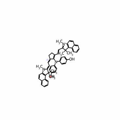 CN1C(=C/C=C2/CCC(C=CC3=[N+](C)c4ccc5ccccc5c4C3(C)C)=C2N(c2ccc(O)cc2)c2ccc(O)cc2)C(C)(C)c2c1ccc1ccccc21